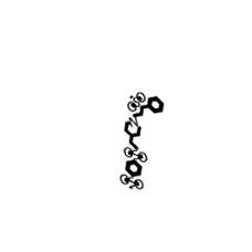 CS(=O)(=O)c1ccc(S(=O)(=O)CCC2CCN(CCC(c3ccccc3)S(C)(=O)=O)CC2)cc1